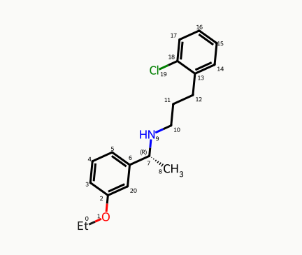 CCOc1cccc([C@@H](C)NCCCc2ccccc2Cl)c1